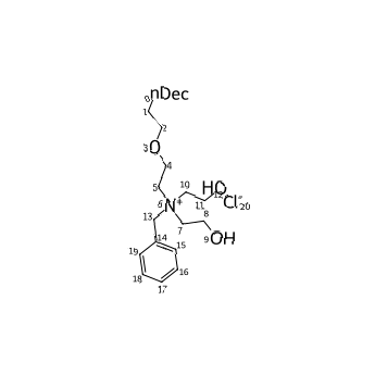 CCCCCCCCCCCCOCC[N+](CCO)(CCO)Cc1ccccc1.[Cl-]